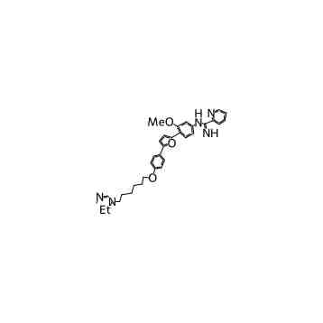 CCN(/C=N\C)CCCCCCOc1ccc(-c2ccc(-c3ccc(NC(=N)c4ccccn4)cc3OC)o2)cc1